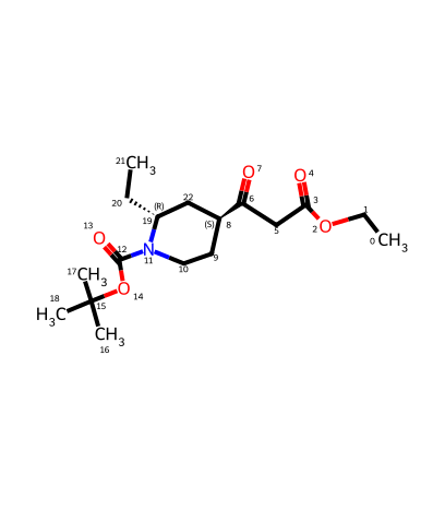 CCOC(=O)CC(=O)[C@H]1CCN(C(=O)OC(C)(C)C)[C@H](CC)C1